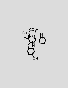 CC[C@H](C)[C@H](NC(=O)[C@H](Cc1ccc(O)cc1)NC(=O)[C@@H]1CCCCN1)C(=O)O